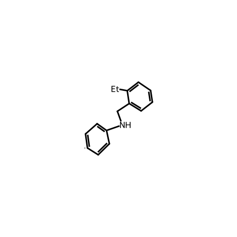 CCc1ccccc1CNc1cc[c]cc1